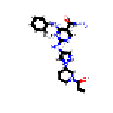 C=CC(=O)N1CCCC(n2cc(Nc3ncc(C(N)=O)c(Nc4ccccc4CC)n3)cn2)C1